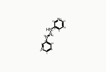 c1cncc(N=NNc2cccnc2)c1